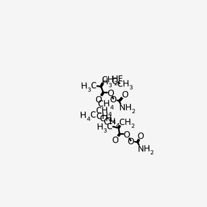 C.C.C.C.C.C.C=C(C)C(=O)OOC(N)=O.C=C(C)C(=O)OOC(N)=O.CC.F